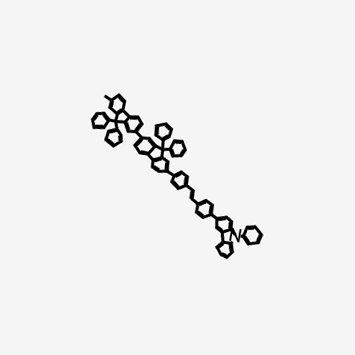 Cc1ccc2c(c1)C(c1ccccc1)(c1ccccc1)c1cc(-c3ccc4c(c3)C(c3ccccc3)(c3ccccc3)c3cc(-c5ccc(/C=C/c6ccc(-c7ccc8c(c7)c7ccccc7n8-c7ccccc7)cc6)cc5)ccc3-4)ccc1-2